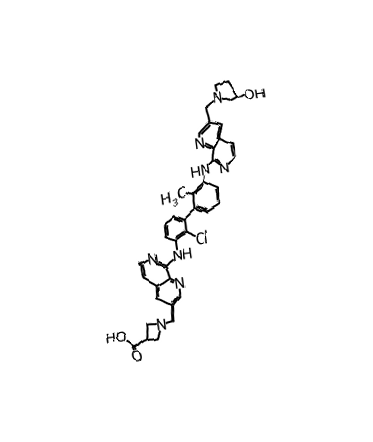 Cc1c(Nc2nccc3cc(CN4CC[C@@H](O)C4)cnc23)cccc1-c1cccc(Nc2nccc3cc(CN4CC(C(=O)O)C4)cnc23)c1Cl